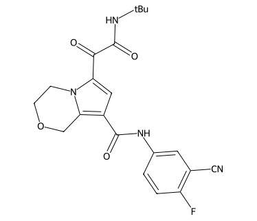 CC(C)(C)NC(=O)C(=O)c1cc(C(=O)Nc2ccc(F)c(C#N)c2)c2n1CCOC2